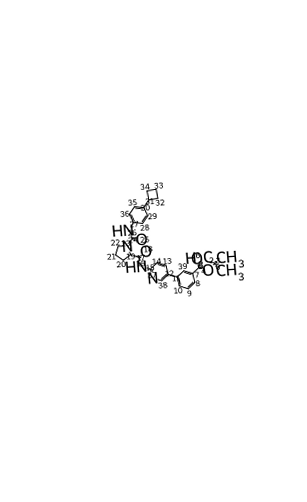 CC(C)(C)OC(=O)c1cccc(-c2ccc(NC(=O)[C@H]3CCCN3C(=O)Nc3ccc(C4CCC4)cc3)nc2)c1